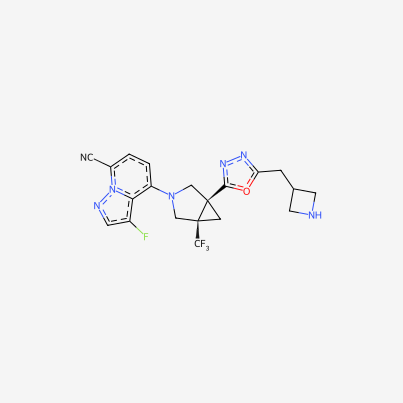 N#Cc1ccc(N2C[C@]3(c4nnc(CC5CNC5)o4)C[C@]3(C(F)(F)F)C2)c2c(F)cnn12